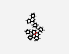 c1ccc(-c2ccc(N(c3ccc(-c4cc5ccccc5c5ccccc45)cc3)c3ccccc3-c3ccc4ccccc4c3)cc2-c2ccccc2)cc1